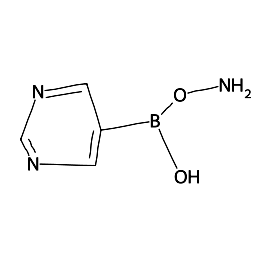 NOB(O)c1cncnc1